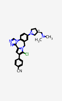 CN(C)C[C@@H]1CCN(c2ccc3c(c2)Cn2c(cc(-c4ccc(C#N)cc4)c2Cl)-c2nncn2-3)C1